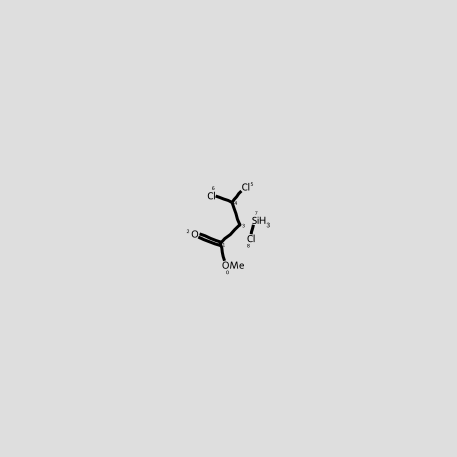 COC(=O)CC(Cl)Cl.[SiH3]Cl